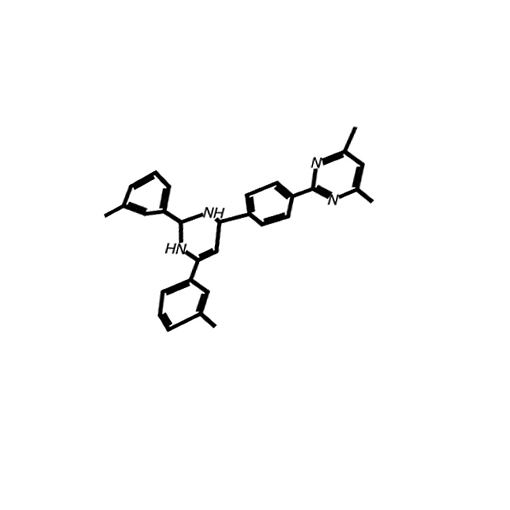 Cc1cccc(C2=CC(c3ccc(-c4nc(C)cc(C)n4)cc3)NC(c3cccc(C)c3)N2)c1